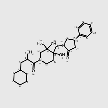 CC(CC1CCCCC1)C(=O)N1CCC(O)(CN2C[C@@H](c3ccccc3)CC2=O)C(C)(C)C1